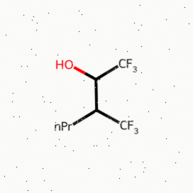 CCCC([C](O)C(F)(F)F)C(F)(F)F